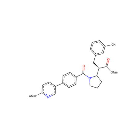 COC(=O)[C@H](Cc1cccc(C#N)c1)C1CCCN1C(=O)c1ccc(-c2ccc(OC)nc2)cc1